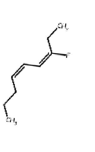 CCC/C=C\C=C(\F)CC